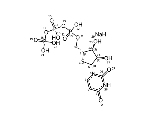 O=c1ccn([C@@H]2S[C@H](COP(=O)(O)OP(=O)(O)OP(=O)(O)O)[C@@H](O)[C@H]2O)c(=O)[nH]1.[NaH]